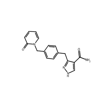 NC(=O)c1c[nH]nc1Cc1ccc(Cn2ccccc2=O)cc1